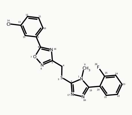 Cn1c(SCc2noc(-c3cccc(Cl)c3)n2)nnc1-c1ccccc1F